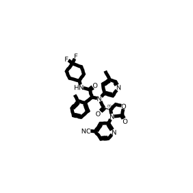 Cc1cncc(N(C(=O)[C@@H]2COC(=O)N2c2cc(C#N)ccn2)C(C(=O)NC2CCC(F)(F)CC2)c2ccccc2C)c1